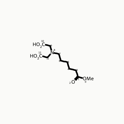 COC(=O)CCCCCN(CC(=O)O)CC(=O)O